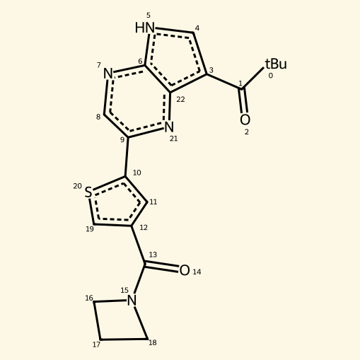 CC(C)(C)C(=O)c1c[nH]c2ncc(-c3cc(C(=O)N4CCC4)cs3)nc12